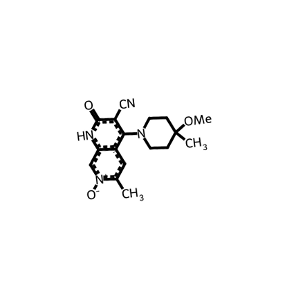 COC1(C)CCN(c2c(C#N)c(=O)[nH]c3c[n+]([O-])c(C)cc23)CC1